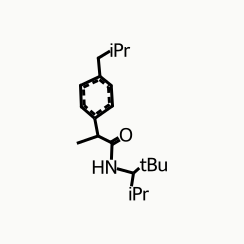 CC(C)Cc1ccc(C(C)C(=O)NC(C(C)C)C(C)(C)C)cc1